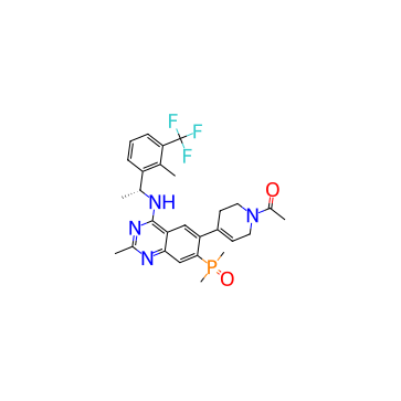 CC(=O)N1CC=C(c2cc3c(N[C@H](C)c4cccc(C(F)(F)F)c4C)nc(C)nc3cc2P(C)(C)=O)CC1